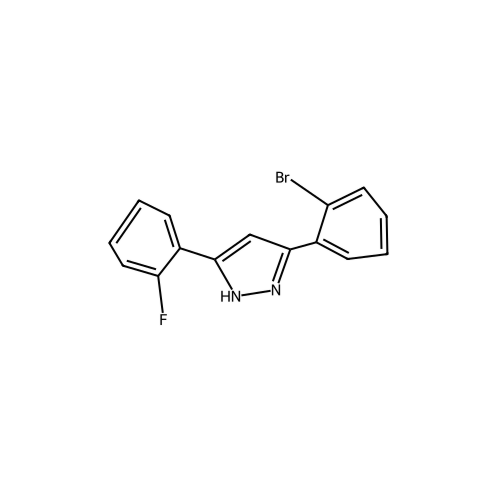 Fc1ccccc1-c1cc(-c2ccccc2Br)n[nH]1